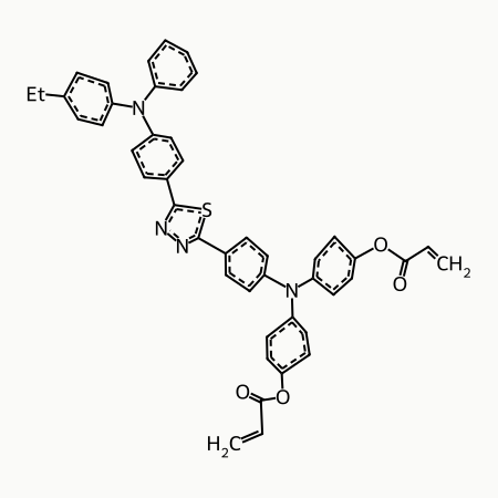 C=CC(=O)Oc1ccc(N(c2ccc(OC(=O)C=C)cc2)c2ccc(-c3nnc(-c4ccc(N(c5ccccc5)c5ccc(CC)cc5)cc4)s3)cc2)cc1